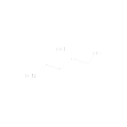 CCCCOCCN.Cl